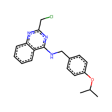 CC(C)Oc1ccc(CNc2nc(CCl)nc3ccccc23)cc1